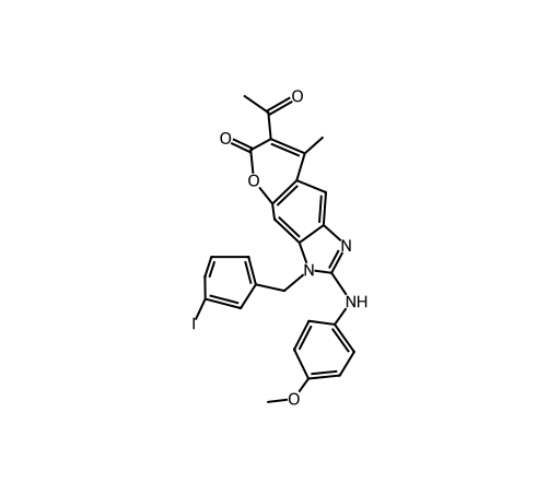 COc1ccc(Nc2nc3cc4c(C)c(C(C)=O)c(=O)oc4cc3n2Cc2cccc(I)c2)cc1